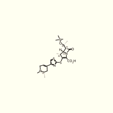 C[C@@H](O[Si](C)(C)C)[C@H]1C(=O)N2C(C(=O)O)=C(Sc3nc(C4=CCN(C)[C@@H](C)C4)cs3)[C@H](C)[C@H]12